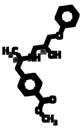 COC(=O)c1ccc(C[C@@H](C)NC[C@H](O)COc2ccccc2)cc1